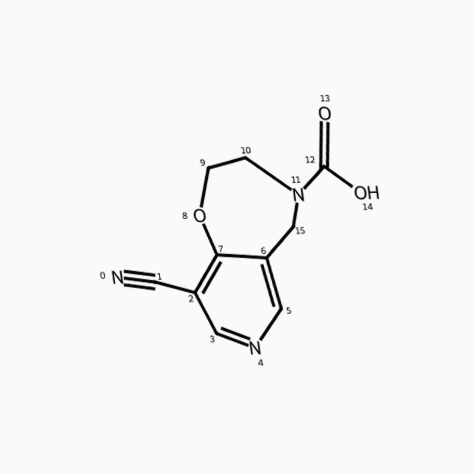 N#Cc1cncc2c1OCCN(C(=O)O)C2